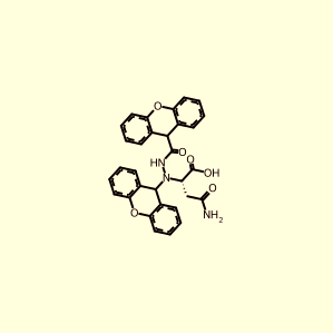 NC(=O)C[C@@H](C(=O)O)N(NC(=O)C1c2ccccc2Oc2ccccc21)C1c2ccccc2Oc2ccccc21